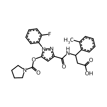 Cc1ccccc1C(CC(=O)O)NC(=O)c1cc(OC(=O)N2CCCC2)n(-c2ccccc2F)n1